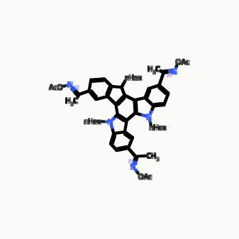 CCCCCCC1c2ccc(/C(C)=N/OC(C)=O)cc2-c2c1c1c3cc(/C(C)=N/OC(C)=O)ccc3n(CCCCCC)c1c1c3cc(/C(C)=N/OC(C)=O)ccc3n(CCCCCC)c21